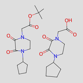 CC(C)(C)OC(=O)CN1CCN(C2CCCC2)C(=O)C1=O.O=C(O)CN1CCN(C2CCCC2)C(=O)C1=O